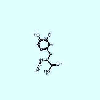 [N-]=[N+]=NC(Cc1ccc(O)c(Cl)c1)C(=O)O